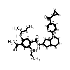 CCNc1cc(C(N)=O)c(N[C@H](C)CC)cc1C(=O)NC1CC2CCCN(c3ccc(C(=O)C4CC4)cn3)C2C1